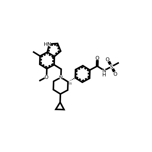 COc1cc(C)c2[nH]ccc2c1CN1CCC(C2CC2)C[C@H]1c1ccc(C(=O)NS(C)(=O)=O)cc1